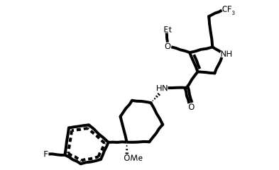 CCOC1=C(C(=O)N[C@H]2CC[C@](OC)(c3ccc(F)cc3)CC2)CNC1CC(F)(F)F